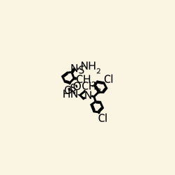 C=C1C(S(=O)(=O)N[C@H]2CN(C(c3ccc(Cl)cc3)c3ccc(Cl)cc3)[C@@H]2C)=CC=C/C1=N/SN